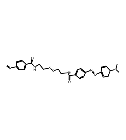 C=Nc1ccc(C(=O)NCCSSCCNC(=O)c2ccc(/N=N/C3=CCC(N(C)C)C=C3)cc2)cc1